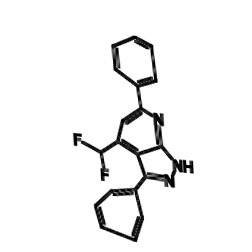 FC(F)c1cc(-c2ccccc2)nc2[nH]nc(-c3ccccc3)c12